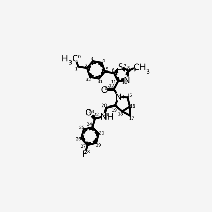 CCc1ccc(-c2sc(C)nc2C(=O)N2CC3CC3C2CNC(=O)c2ccc(F)cc2)cc1